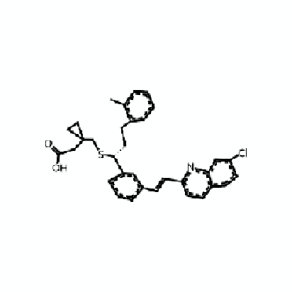 Cc1ccccc1CC[C@@H](SCC1(CC(=O)O)CC1)c1cccc(/C=C/c2ccc3ccc(Cl)cc3n2)c1